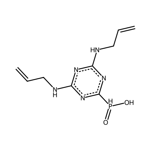 C=CCNc1nc(NCC=C)nc([PH](=O)O)n1